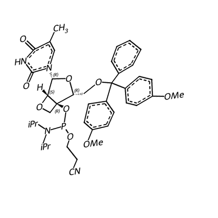 COc1ccc(C(OC[C@H]2O[C@@H](n3cc(C)c(=O)[nH]c3=O)[C@H]3OC[C@]32OP(OCCC#N)N(C(C)C)C(C)C)(c2ccccc2)c2ccc(OC)cc2)cc1